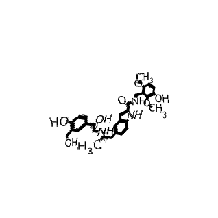 COc1ccc(O)c(OC)c1CNC(=O)c1cc2cc(C[C@@H](C)NC[C@H](O)c3ccc(O)c(CO)c3)ccc2[nH]1